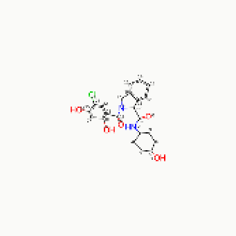 O=C(NC1CCC(O)CC1)C1c2ccccc2CN1C(=O)c1cc(Cl)c(O)cc1O